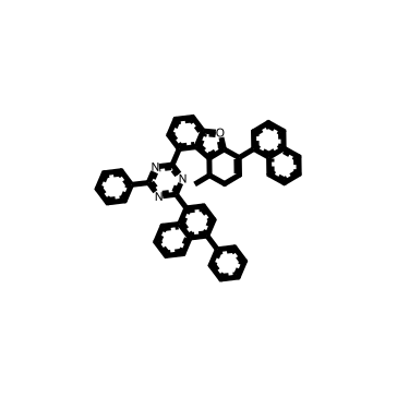 CC1CC=C(c2cccc3ccccc23)c2oc3cccc(-c4nc(-c5ccccc5)nc(-c5ccc(-c6ccccc6)c6ccccc56)n4)c3c21